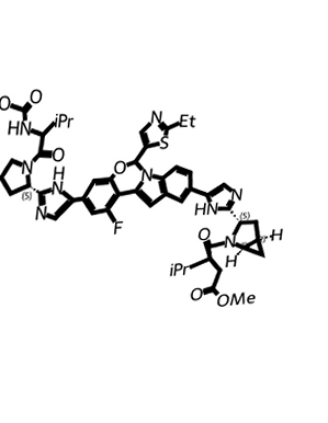 CCc1ncc(C2Oc3cc(-c4cnc([C@@H]5CCCN5C(=O)C(NC(=O)OC)C(C)C)[nH]4)cc(F)c3-c3cc4cc(-c5cnc([C@@H]6C[C@H]7C[C@H]7N6C(=O)C(CC(=O)OC)C(C)C)[nH]5)ccc4n32)s1